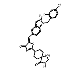 O=C1N=C(N2CCC3(CC2)NCNC3=O)SC1=Cc1ccc2c(cnn2Cc2ccc(Cl)cc2C(F)(F)F)c1